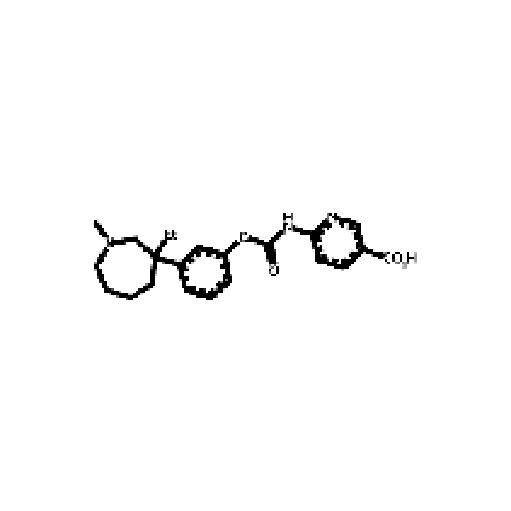 CCC1(c2cccc(OC(=O)Nc3ccc(C(=O)O)cn3)c2)CCCCN(C)C1